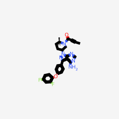 CC#CC(=O)N1C[C@@H](n2nc(-c3ccc(Oc4ccc(F)cc4F)cc3)c3c(N)ncnc32)CC[C@H]1C